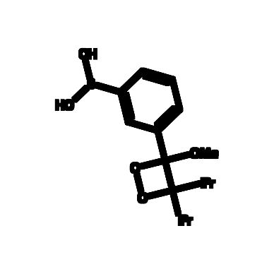 COC1(c2cccc(B(O)O)c2)OOC1(C(C)C)C(C)C